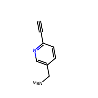 C#Cc1ccc(CNC)cn1